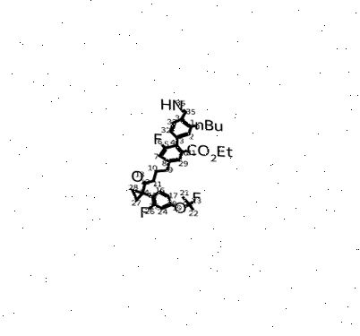 CCCCc1cc(-c2c(F)cc(CCCC(=O)C3(c4ccc(OC(C)(C)F)cc4F)CC3)cc2C(=O)OCC)ccc1C=N